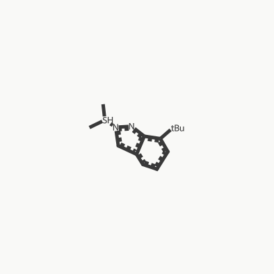 C[SH](C)n1cc2cccc(C(C)(C)C)c2n1